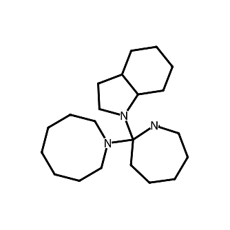 C1CCCN(C2(N3CCC4CCCCC43)CCCCC[N]2)CCC1